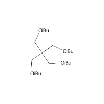 CC(C)COCC(COCC(C)C)(COCC(C)C)COCC(C)C